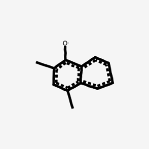 Cc1cc(C)c2ccccc2c1[O]